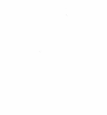 CCCCCCCCCCCCCCCCCCNC(O)=S.[Mo]